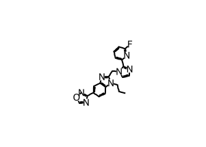 CCCn1c(Cn2ccnc2-c2cccc(F)n2)nc2cc(-c3ncon3)ccc21